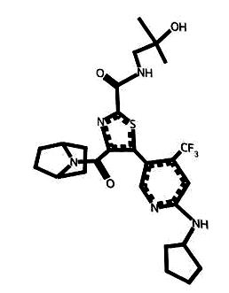 CC(C)(O)CNC(=O)c1nc(C(=O)N2C3CCC2CC3)c(-c2cnc(NC3CCCC3)cc2C(F)(F)F)s1